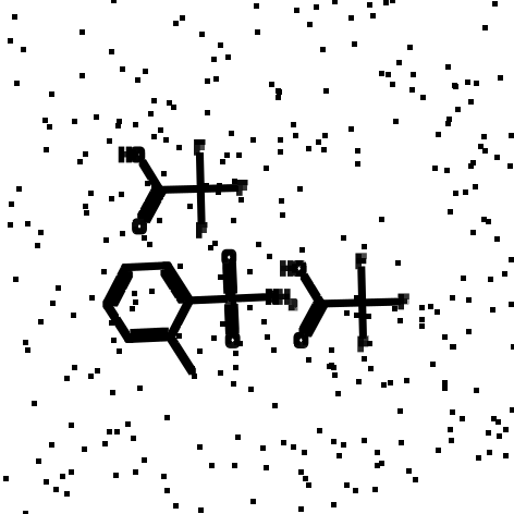 Cc1ccccc1S(N)(=O)=O.O=C(O)C(F)(F)F.O=C(O)C(F)(F)F